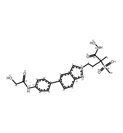 CC(CCn1cc2cc(-c3ccc(NC(=O)CO)cc3)ccc2n1)(C(=O)NO)S(C)(=O)=O